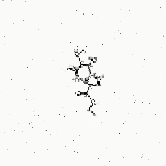 CCOC(=O)c1cnn2c(Cl)c(OC)c(Cl)nc12